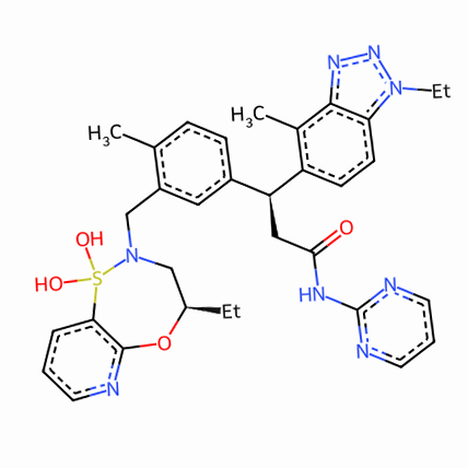 CC[C@@H]1CN(Cc2cc([C@H](CC(=O)Nc3ncccn3)c3ccc4c(nnn4CC)c3C)ccc2C)S(O)(O)c2cccnc2O1